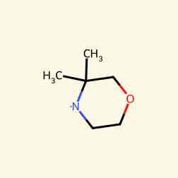 CC1(C)COCC[N]1